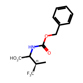 C[C@H](C(NC(=O)OCc1ccccc1)C(=O)O)C(F)(F)F